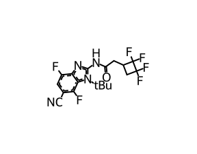 CC(C)(C)n1c(NC(=O)CC2CC(F)(F)C2(F)F)nc2c(F)cc(C#N)c(F)c21